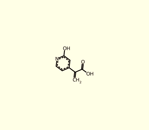 C=C(C(=O)O)c1ccnc(O)c1